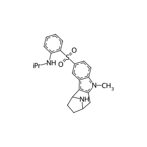 CC(C)Nc1ccccc1S(=O)(=O)c1ccc2c(c1)c1c(n2C)CC2CCC1N2